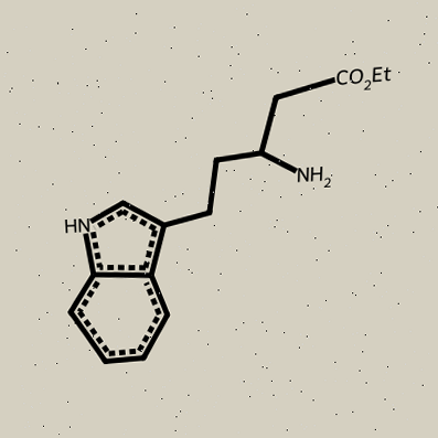 CCOC(=O)CC(N)CCc1c[nH]c2ccccc12